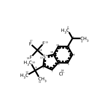 CC(C)c1ccc2cc(C(C)(C)C)[s+](C(F)(F)F)c2c1.[Cl-]